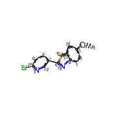 COc1ccc2nc(-c3ccc(Br)nc3)sc2c1